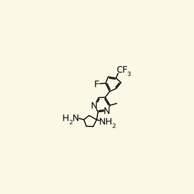 Cc1nc(C2(N)CCC(N)C2)ncc1-c1ccc(C(F)(F)F)cc1F